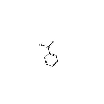 [F][Zn]([Cl])[c]1ccccc1